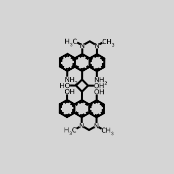 CN1CN(C)c2c3cccc(N)c3c(C3C(O)C(c4c5c(O)cccc5c5c6c(ccc(O)c46)N(C)CN5C)C3O)c3c(N)ccc1c23